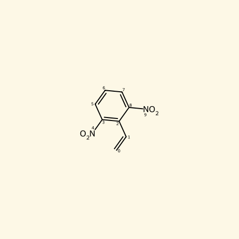 C=Cc1c([N+](=O)[O-])cccc1[N+](=O)[O-]